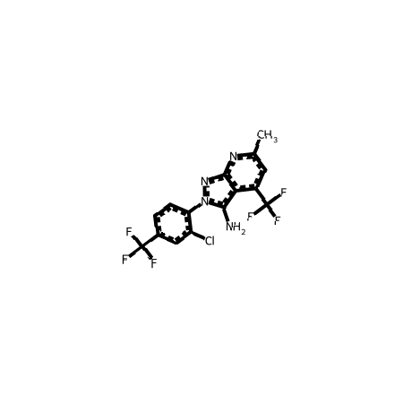 Cc1cc(C(F)(F)F)c2c(N)n(-c3ccc(C(F)(F)F)cc3Cl)nc2n1